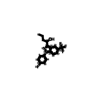 CCCC(O)c1nn(-c2ccc(F)cc2)c2ccc(C(F)(F)F)cc12